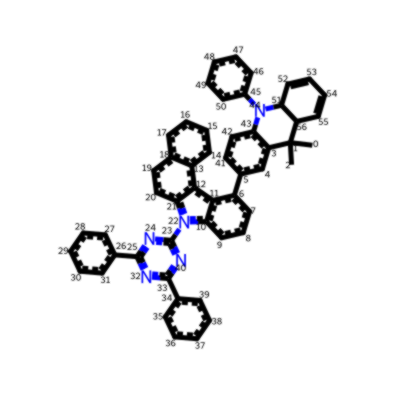 CC1(C)c2cc(-c3cccc4c3c3c5ccccc5ccc3n4-c3nc(-c4ccccc4)nc(-c4ccccc4)n3)ccc2N(c2ccccc2)C2C=CC=CC21